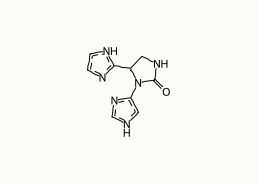 O=C1NC[C](c2ncc[nH]2)N1c1c[nH]cn1